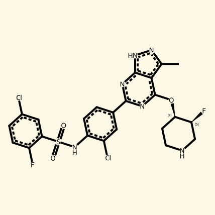 Cc1n[nH]c2nc(-c3ccc(NS(=O)(=O)c4cc(Cl)ccc4F)c(Cl)c3)nc(O[C@@H]3CCNC[C@@H]3F)c12